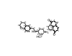 Cl.O=c1cnc2ccc(=O)n3c2n1C[C@H]3CN1CCC(NCc2cc3c(cn2)OCCC3)CC1